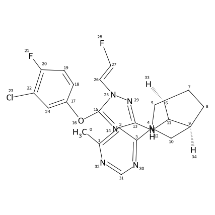 Cc1cc(N2C[C@H]3CC[C@@H](C2)C3Nc2nc(Oc3ccc(F)c(Cl)c3)n(C=CF)n2)ncn1